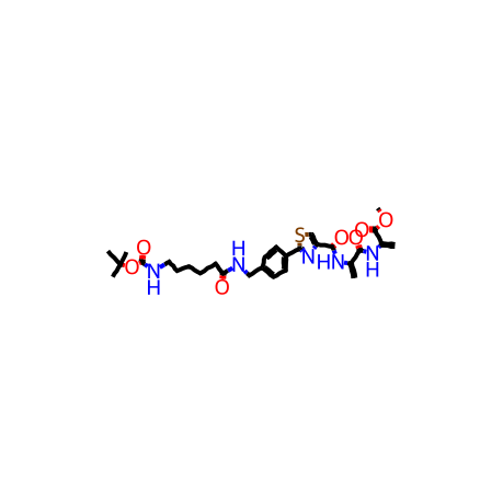 C=C(NC(=O)c1csc(-c2ccc(CNC(=O)CCCCCNC(=O)OC(C)(C)C)cc2)n1)C(=O)NC(=C)C(=O)OC